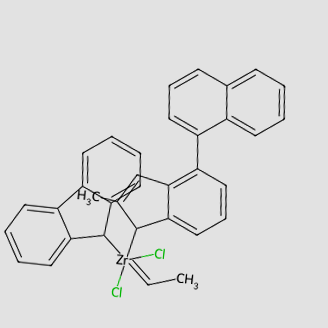 C[CH]=[Zr]([Cl])([Cl])([CH]1C(C)=Cc2c(-c3cccc4ccccc34)cccc21)[CH]1c2ccccc2-c2ccccc21